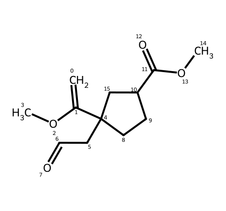 C=C(OC)C1(CC=O)CCC(C(=O)OC)C1